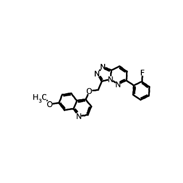 COc1ccc2c(OCc3nnc4ccc(-c5ccccc5F)nn34)ccnc2c1